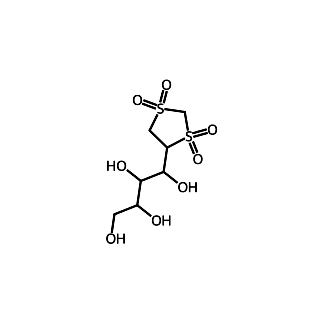 O=S1(=O)CC(C(O)C(O)C(O)CO)S(=O)(=O)C1